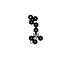 c1ccc(-c2nc(-c3ccc(-c4cccc(-c5cccc6c5-c5ccccc5C65CCCCC5)c4)cc3)nc(-c3cccc4oc5ccccc5c34)n2)cc1